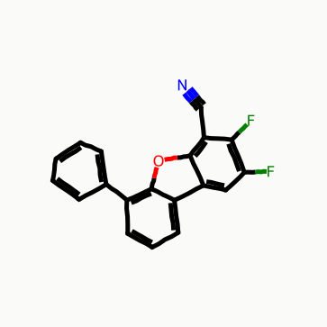 N#Cc1c(F)c(F)cc2c1oc1c(-c3ccccc3)cccc12